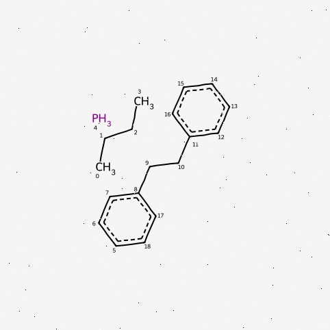 CCCC.P.c1ccc(CCc2ccccc2)cc1